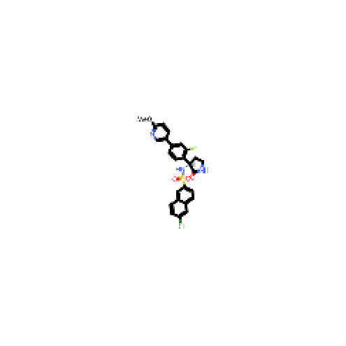 COc1ccc(-c2ccc([C@@]3(NS(=O)(=O)c4ccc5cc(Cl)ccc5c4)CCNC3=O)c(F)c2)cn1